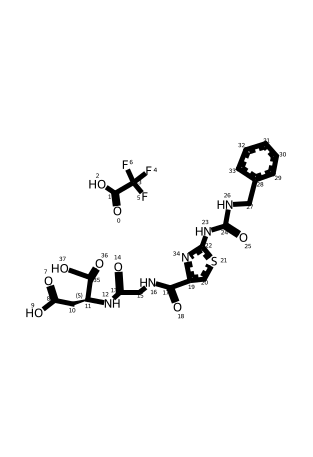 O=C(O)C(F)(F)F.O=C(O)C[C@H](NC(=O)CNC(=O)c1csc(NC(=O)NCc2ccccc2)n1)C(=O)O